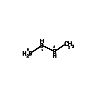 BBBC